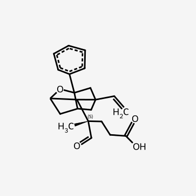 C=CC12CC3CC(OC3(c3ccccc3)C1)C2[C@@](C)(C=O)CCC(=O)O